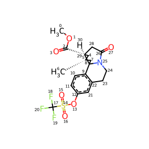 COC(=O)[C@@H]1[C@@H](C)CC23c4ccc(OS(=O)(=O)C(F)(F)F)cc4CCN2C(=O)C[C@@H]13